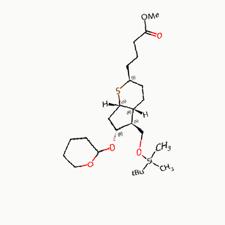 COC(=O)CCC[C@H]1CC[C@@H]2[C@@H](CO[Si](C)(C)C(C)(C)C)[C@H](OC3CCCCO3)C[C@@H]2S1